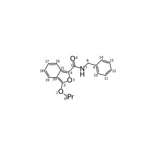 CC(C)Oc1oc(C(=O)NCc2ccccc2)c2ccccc12